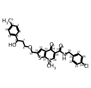 Cc1ccc(C(O)CCOCc2cc3c(=O)c(C(=O)NCc4ccc(Cl)cc4)cn(C)c3s2)cc1